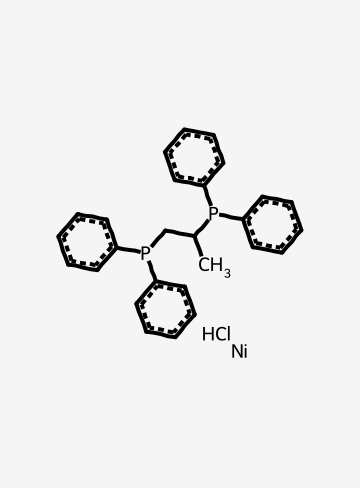 CC(CP(c1ccccc1)c1ccccc1)P(c1ccccc1)c1ccccc1.Cl.[Ni]